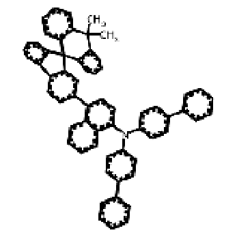 CC1(C)c2ccccc2C2(c3ccccc3-c3ccc(-c4ccc(N(c5ccc(-c6ccccc6)cc5)c5ccc(-c6ccccc6)cc5)c5ccccc45)cc32)c2ccccc21